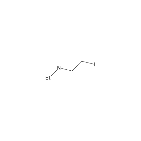 CC[N]CCI